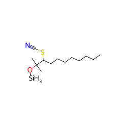 CCCCCCCCC(SC#N)C(C)(C)O[SiH3]